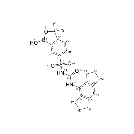 CC1(C)OB(O)c2cc(S(=O)(=O)NC(=O)Nc3c4c(cc5c3CCC5)CCC4)ccc21